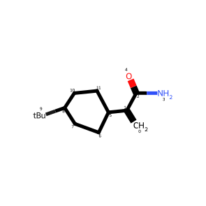 C=C(C(N)=O)C1CCC(C(C)(C)C)CC1